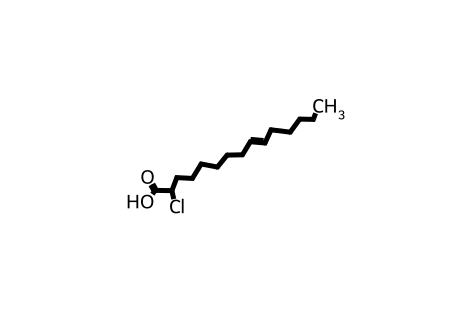 CCCCC/C=C/CCCCCCC(Cl)C(=O)O